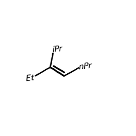 CCCC=C(CC)C(C)C